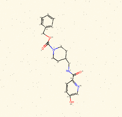 O=C(NCC1CCN(C(=O)OCc2ccccc2)CC1)c1ccc(O)cn1